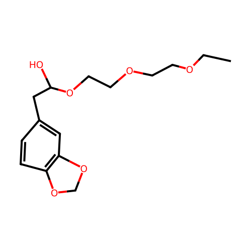 CCOCCOCCOC(O)Cc1ccc2c(c1)OCO2